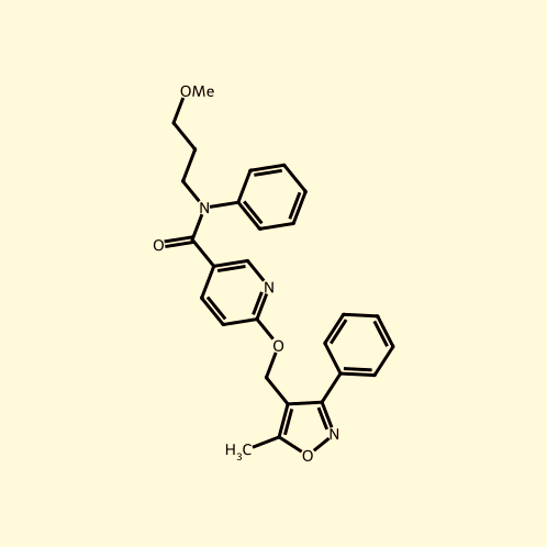 COCCCN(C(=O)c1ccc(OCc2c(-c3ccccc3)noc2C)nc1)c1ccccc1